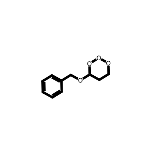 c1ccc(COC2CCOOO2)cc1